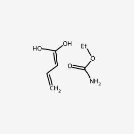 C=CC=C(O)O.CCOC(N)=O